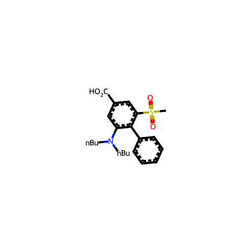 CCCCN(CCCC)c1cc(C(=O)O)cc(S(C)(=O)=O)c1-c1ccccc1